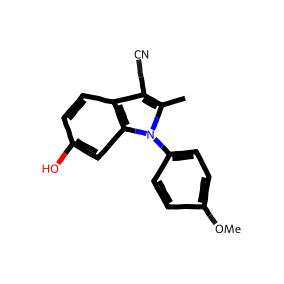 COc1ccc(-n2c(C)c(C#N)c3ccc(O)cc32)cc1